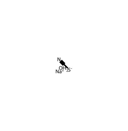 N#C[S-].O.[Na+]